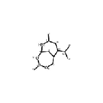 CB1OCC2CC(NC(C)CC2C(C)C)O1